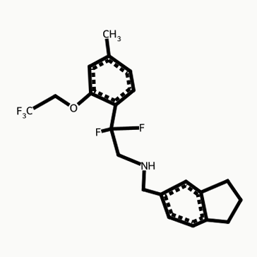 Cc1ccc(C(F)(F)CNCc2ccc3c(c2)CCC3)c(OCC(F)(F)F)c1